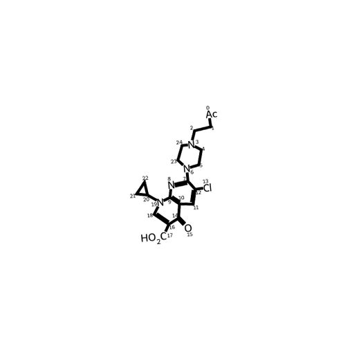 CC(=O)CCN1CCN(c2nc3c(cc2Cl)c(=O)c(C(=O)O)cn3C2CC2)CC1